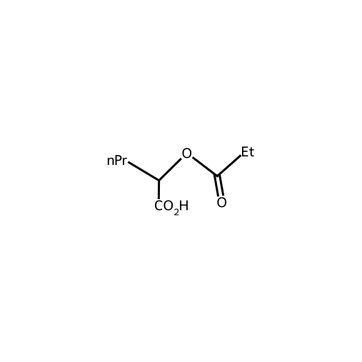 CCCC(OC(=O)CC)C(=O)O